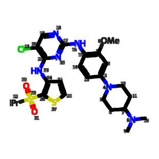 COc1cc(N2CCC(N(C)C)CC2)ccc1Nc1ncc(Cl)c(Nc2ccsc2S(=O)(=O)C(C)C)n1